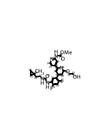 COC(=O)Nc1cc(-c2cc(-c3cc(NC(=O)NCCC4(C)CC4)c(F)cc3F)cc(OCCO)n2)ccn1